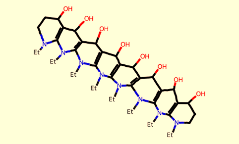 CCN1CCC(O)C2=C1N(CC)C1=C(C2O)C(O)C2=C(N1CC)N(CC)C1=C(C2O)C(O)C2=C(N(CC)C3=C(C(O)C4=C(N(CC)CCC4O)N3CC)C2O)N1CC